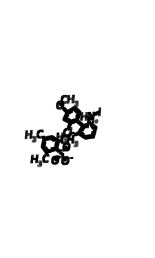 COc1ccc(-c2c(C)ccc[n+]2NI)c(Cl)c1.Cc1cc(C)c(S(=O)(=O)[O-])c(C)c1